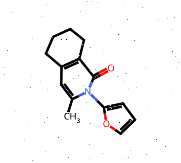 Cc1cc2c(c(=O)n1-c1ccco1)CCCC2